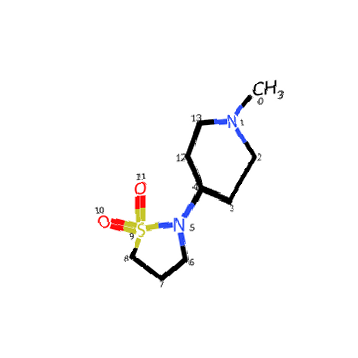 CN1CCC(N2CCCS2(=O)=O)CC1